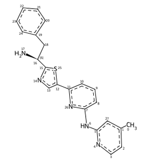 Cc1ccnc(Nc2cccc(-c3cnc([C@@H](N)Cc4ccccc4)s3)n2)c1